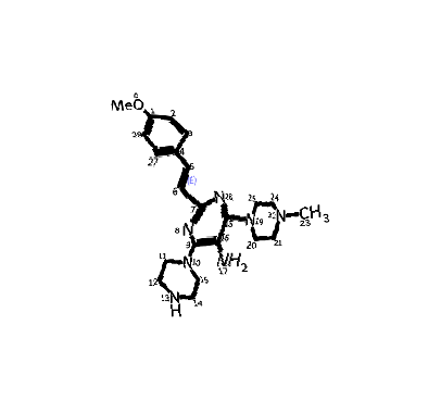 COc1ccc(/C=C/c2nc(N3CCNCC3)c(N)c(N3CCN(C)CC3)n2)cc1